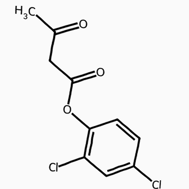 CC(=O)CC(=O)Oc1ccc(Cl)cc1Cl